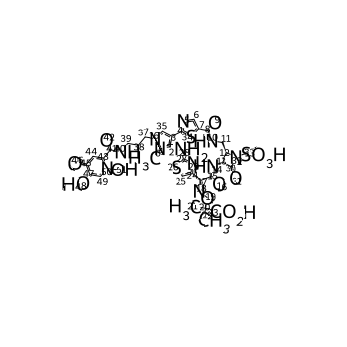 C[n+]1cc(-c2ncc(C(=O)NC[C@@H]3[C@H](NC(=O)/C(=N\OC(C)(C)C(=O)O)c4csc(N)n4)C(=O)N3S(=O)(=O)O)s2)cn1CCCNC(=O)c1cc(=O)c(O)cn1O